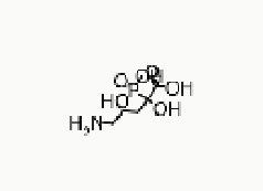 NCCCC(O)(C(=O)O)P(=O)(O)O